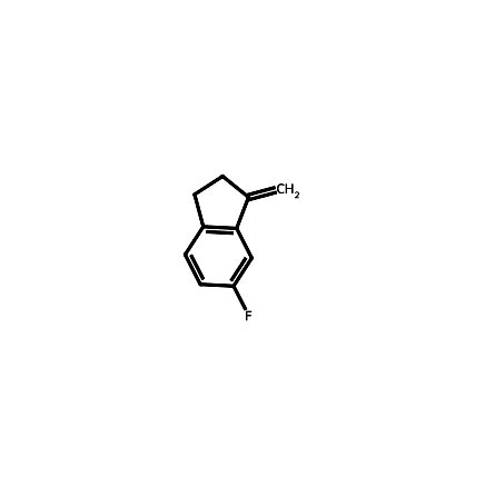 C=C1CCc2ccc(F)cc21